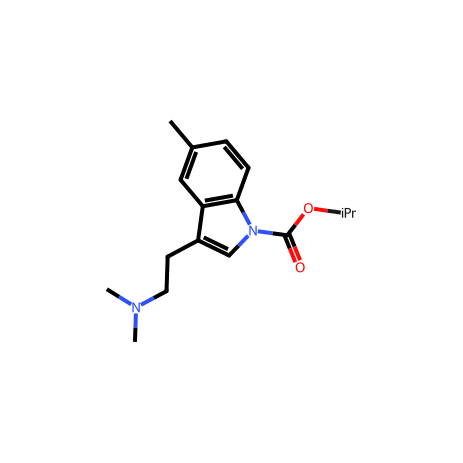 Cc1ccc2c(c1)c(CCN(C)C)cn2C(=O)OC(C)C